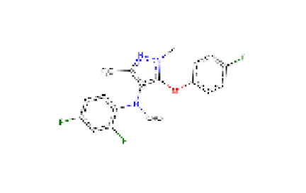 Cn1nc(C(F)(F)F)c(N(C=O)c2ccc(F)cc2F)c1Oc1ccc(F)cc1